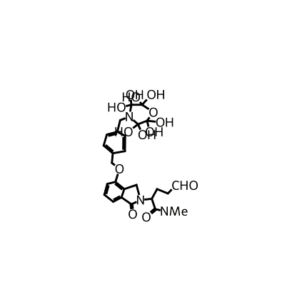 CNC(=O)C(CCC=O)N1Cc2c(OCc3ccc(CN4C(O)(O)C(O)(O)OC(O)(O)C4(O)O)cc3)cccc2C1=O